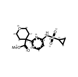 COC(=O)C1(c2nccc(NS(=O)(=O)C3CC3)n2)CCOCC1